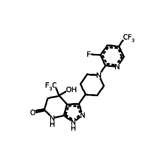 O=C1CC(O)(C(F)(F)F)c2c(C3CCN(c4ncc(C(F)(F)F)cc4F)CC3)n[nH]c2N1